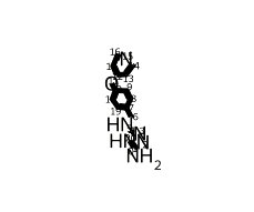 Nc1nnc(NCc2ccc(Oc3ccncc3)cc2)[nH]1